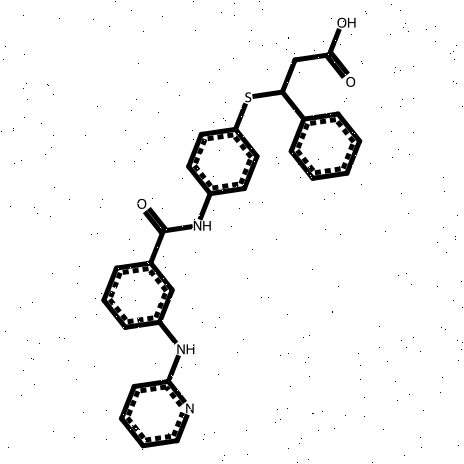 O=C(O)CC(Sc1ccc(NC(=O)c2cccc(Nc3ccccn3)c2)cc1)c1ccccc1